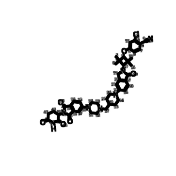 CC1(C)[C@H](Oc2ccc(C#N)c(Cl)c2)C(C)(C)[C@H]1N1Cc2cc(N3CCC(CN4CCN(c5ccc6c(c5)C(=O)N(C5CCC(=O)NC5=O)C6=O)CC4)CC3)ccc2C1=O